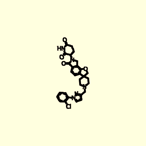 O=C1CCC(N2Cc3c(ccc4c3OCC43CCN(Cc4ccn(-c5ccccc5Cl)n4)CC3)C2=O)C(=O)N1